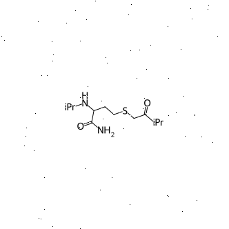 CC(C)NC(CCSCC(=O)C(C)C)C(N)=O